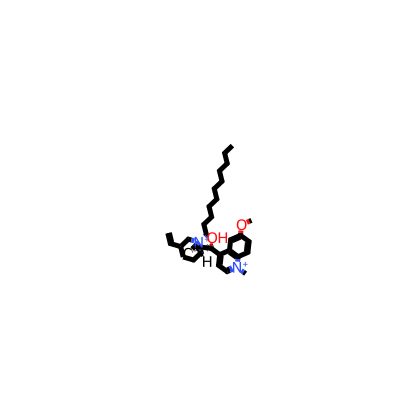 C=CC1C[N+]2(CCCCCCCCCCC)CCC1C[C@H]2[C@@H](O)c1cc[n+](C)c2ccc(OC)cc12